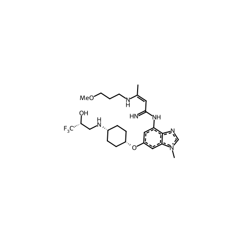 COCCCN/C(C)=C\C(=N)Nc1cc(O[C@H]2CC[C@@H](NC[C@@H](O)C(F)(F)F)CC2)cc2c1ncn2C